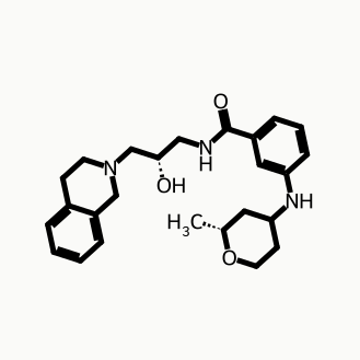 C[C@@H]1CC(Nc2cccc(C(=O)NC[C@H](O)CN3CCc4ccccc4C3)c2)CCO1